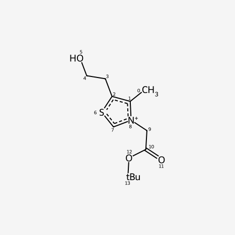 Cc1c(CCO)sc[n+]1CC(=O)OC(C)(C)C